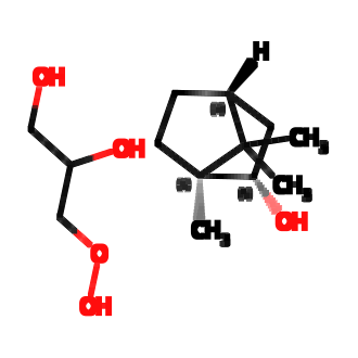 CC1(C)[C@@H]2CC[C@]1(C)[C@@H](O)C2.OCC(O)COO